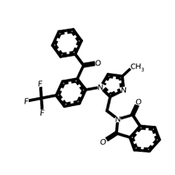 Cc1cn(-c2ccc(C(F)(F)F)cc2C(=O)c2ccccc2)c(CN2C(=O)c3ccccc3C2=O)n1